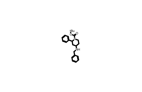 CC(C)(C)OC(=O)N1CCC(NCc2ccccc2)CC1c1ccccc1